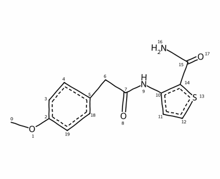 COc1ccc(CC(=O)Nc2ccsc2C(N)=O)cc1